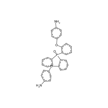 Nc1ccc(Oc2ccccc2P(=O)(c2ccccc2)c2ccccc2Oc2ccc(N)cc2)cc1